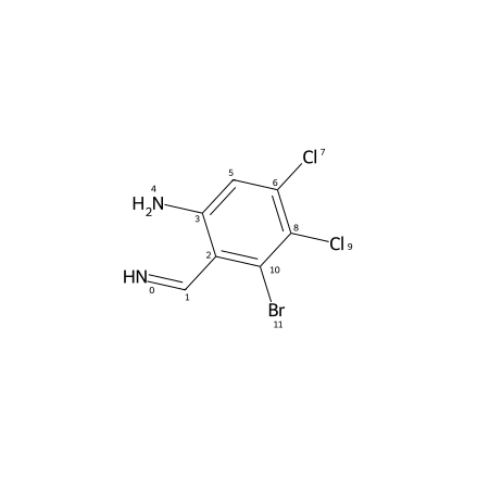 N=Cc1c(N)cc(Cl)c(Cl)c1Br